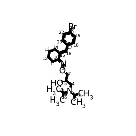 CC(C)N(C[C@@H](O)CO/N=C1\CCCC\C1=C/c1ccc(Br)cc1)C(C)C